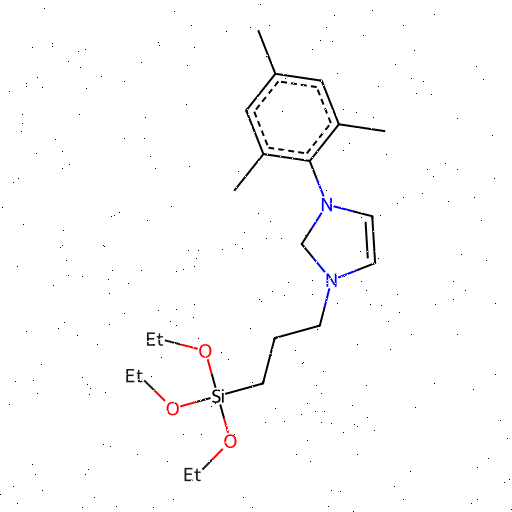 CCO[Si](CCCN1C=CN(c2c(C)cc(C)cc2C)C1)(OCC)OCC